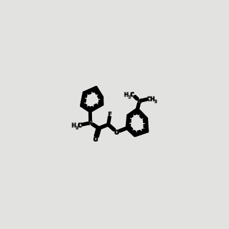 CN(C)c1cccc(OC(F)C(=O)N(C)c2ccccc2)c1